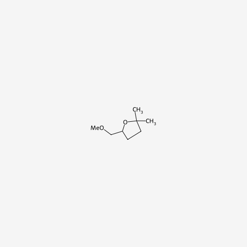 COCC1CCC(C)(C)O1